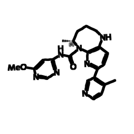 COc1cc(NC(=O)N2c3nc(-c4cnccc4C)ccc3NCCC[C@H]2C)ncn1